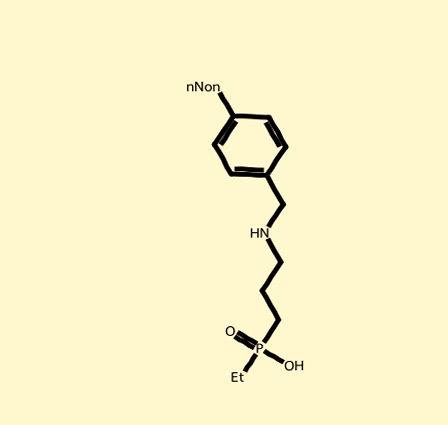 CCCCCCCCCc1ccc(CNCCCP(=O)(O)CC)cc1